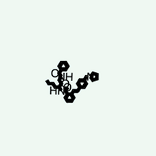 CCCCC(NC(=O)c1ccccc1C=Cc1ccc(CN2CCCC2)cc1)C(=O)CNC(=O)c1ccccc1